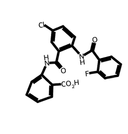 O=C(Nc1ccc(Cl)cc1C(=O)Nc1ccccc1C(=O)O)c1ccccc1F